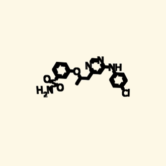 CC(Cc1cc(Nc2ccc(Cl)cc2)ncn1)Oc1cccc(S(N)(=O)=O)c1